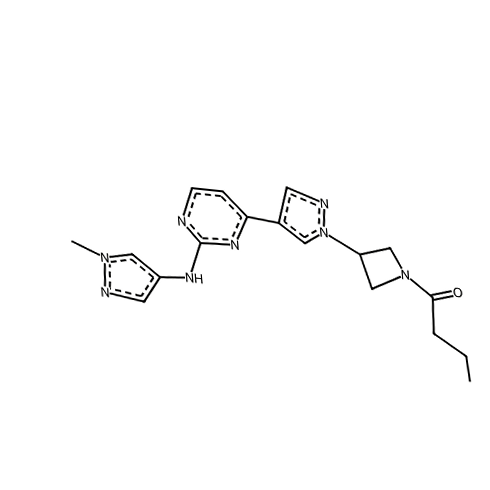 CCCC(=O)N1CC(n2cc(-c3ccnc(Nc4cnn(C)c4)n3)cn2)C1